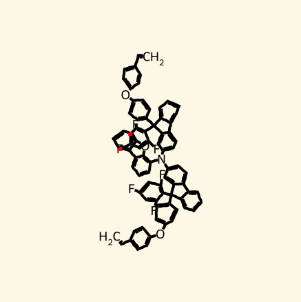 C=Cc1ccc(Oc2ccc(C3(c4c(F)cc(F)cc4F)c4ccccc4-c4ccc(N(c5ccc6c(c5)C(c5ccc(Oc7ccc(C=C)cc7)cc5)(c5c(F)cc(F)cc5F)c5ccccc5-6)c5cccc6c5oc5ccccc56)cc43)cc2)cc1